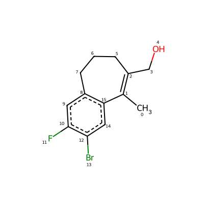 CC1=C(CO)CCCc2cc(F)c(Br)cc21